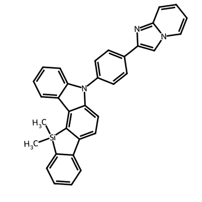 C[Si]1(C)c2ccccc2-c2ccc3c(c21)c1ccccc1n3-c1ccc(-c2cn3ccccc3n2)cc1